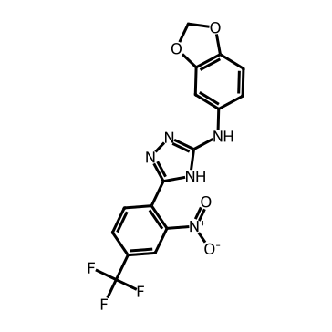 O=[N+]([O-])c1cc(C(F)(F)F)ccc1-c1nnc(Nc2ccc3c(c2)OCO3)[nH]1